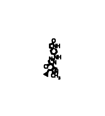 Cn1ncc(-c2nc(N[C@H]3CC[C@@]4(CCC(=O)N4)CC3)ncc2Cl)c1CC1CC1